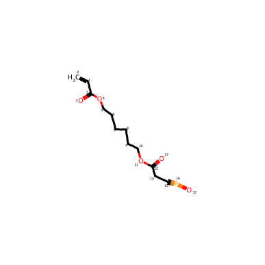 C=CC(=O)OCCCCCCOC(=O)CC#P=O